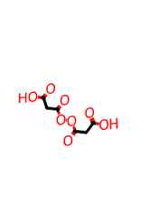 O=C(O)CC(=O)OOC(=O)CC(=O)O